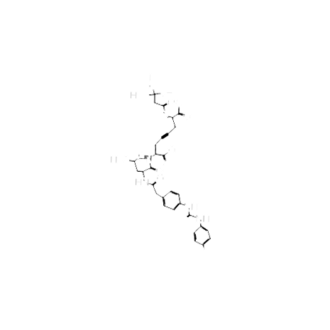 CC(C)CC(NC(=O)Cc1ccc(NC(=O)Nc2ccc(O)cc2)cc1)C(=O)NC(CC#CCC(NC(=O)CC(C)(C)C)C(=O)O)C(=O)O